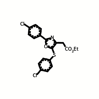 CCOC(=O)Cc1nc(-c2ccc(Cl)cc2)oc1Sc1ccc(Cl)cc1